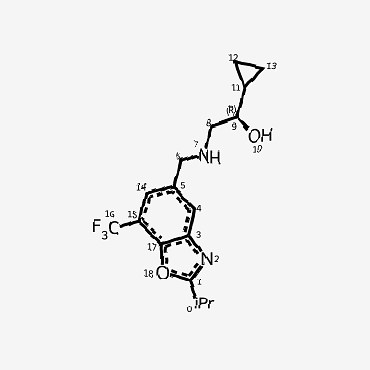 CC(C)c1nc2cc(CNC[C@H](O)C3CC3)cc(C(F)(F)F)c2o1